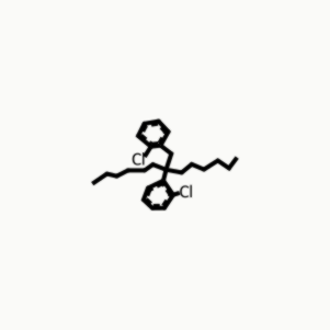 CCCCCCC(CCCCCC)(Cc1ccccc1Cl)c1ccccc1Cl